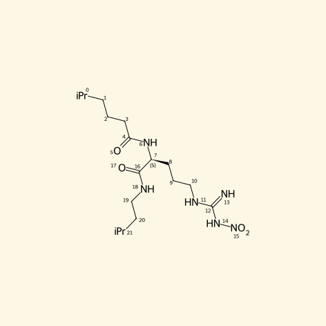 CC(C)CCCC(=O)N[C@@H](CCCNC(=N)N[N+](=O)[O-])C(=O)NCCC(C)C